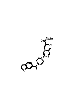 C=C1C=NC(N2CCN(C(C)c3ccc4c(c3)OCC4)CC2)=CN1/C=C(\CC)C(=O)NC